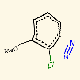 COc1ccccc1Cl.N#N